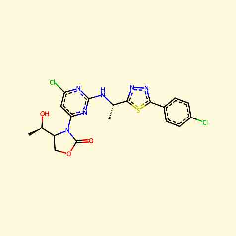 C[C@H](Nc1nc(Cl)cc(N2C(=O)OCC2[C@@H](C)O)n1)c1nnc(-c2ccc(Cl)cc2)s1